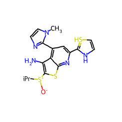 CC(C)[S+]([O-])c1sc2nc(C3=[SH]C=CN3)cc(-c3nccn3C)c2c1N